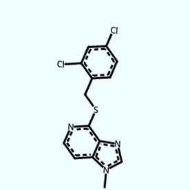 Cn1cnc2c(SCc3ccc(Cl)cc3Cl)nccc21